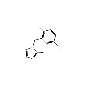 Sc1nccn1Cc1cc(Cl)ccc1Cl